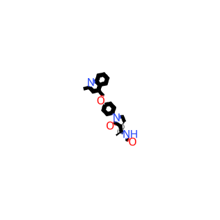 Cc1cc(COc2ccc(N3CC[C@H]([C@H](C)NC=O)C3=O)cc2)c2ccccc2n1